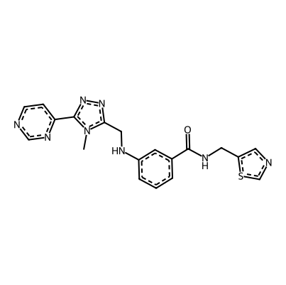 Cn1c(CNc2cccc(C(=O)NCc3cncs3)c2)nnc1-c1ccncn1